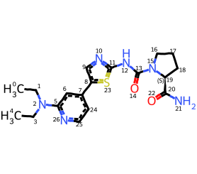 CCN(CC)c1cc(-c2cnc(NC(=O)N3CCC[C@H]3C(N)=O)s2)ccn1